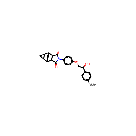 COc1ccc(C(O)COc2ccc(N3C(=O)C4C5C=CC(C6CC56)C4C3=O)cc2)cc1